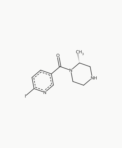 C[C@@H]1CNCCN1C(=O)c1ccc(I)nc1